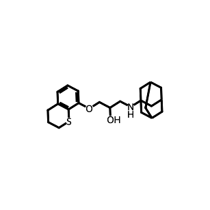 OC(CNC12CC3CC(CC(C3)C1)C2)COc1cccc2c1SCCC2